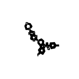 Cc1ccc(S(=O)(=O)n2c3c(c4cc(F)ccc42)CN(c2ncc4nc(N5CCOCC5)sc4n2)CC3)cc1